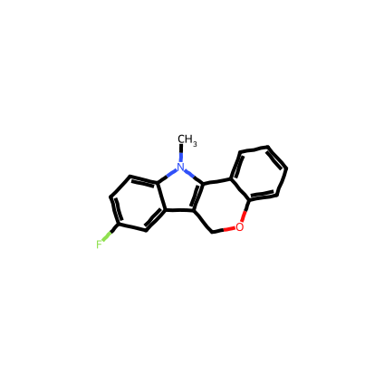 Cn1c2c(c3cc(F)ccc31)COc1ccccc1-2